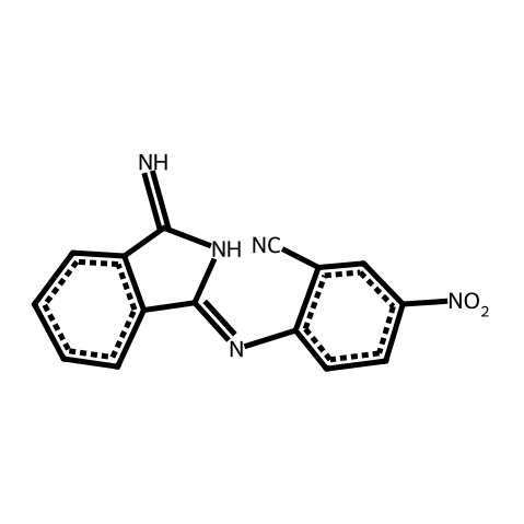 N#Cc1cc([N+](=O)[O-])ccc1N=C1NC(=N)c2ccccc21